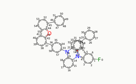 Fc1ccc2c(c1)c1ccccc1n2-c1ccccc1N(c1ccc(-c2ccccc2)cc1)c1ccc(-c2cccc3c2oc2c(-c4ccccc4)cccc23)cc1